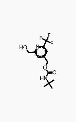 CC(C)(C)NC(=O)OCc1cc(CO)nc(C(F)(F)F)c1